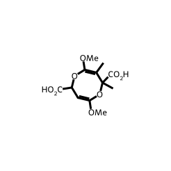 COC1=CC(C(=O)O)OC(OC)=C(C)C(C)(C(=O)O)O1